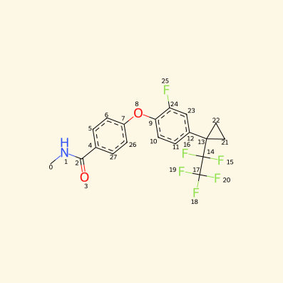 CNC(=O)c1ccc(Oc2ccc(C3(C(F)(F)C(F)(F)F)CC3)cc2F)cc1